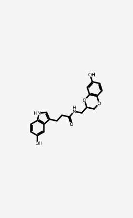 O=C(CCc1c[nH]c2ccc(O)cc12)NCC1COc2ccc(O)cc2O1